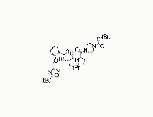 CC(C)C[C@@H](NC(=O)c1ccccc1OCc1noc(C(C)(C)C)n1)C(=O)N1CCC[C@@H]1C(=O)N1CCN(C(=O)OC(C)(C)C)CC1